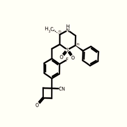 C[C@@H]1NC[C@@H](c2ccccc2)S(=O)(=O)C1Cc1ccc(C2(C#N)CC(=O)C2)cc1F